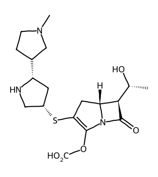 C[C@@H](O)[C@H]1C(=O)N2C(OC(=O)O)=C(S[C@@H]3CN[C@H](C4CCN(C)C4)C3)C[C@H]12